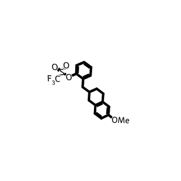 COc1ccc2c(c1)CCC(Cc1ccccc1OS(=O)(=O)C(F)(F)F)C2